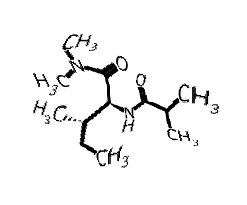 CC[C@H](C)[C@H](NC(=O)C(C)C)C(=O)N(C)C